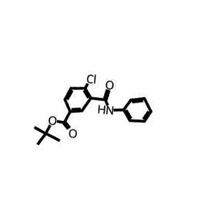 CC(C)(C)OC(=O)c1ccc(Cl)c(C(=O)Nc2ccccc2)c1